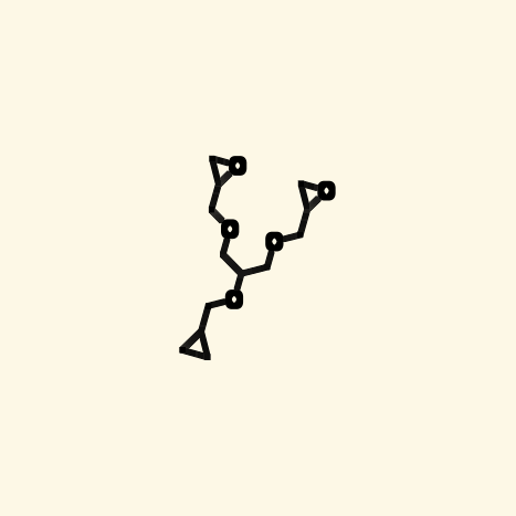 C1CC1COC(COCC1CO1)COCC1CO1